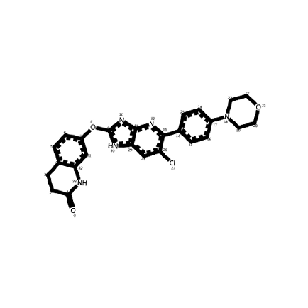 O=C1CCc2ccc(Oc3nc4nc(-c5ccc(N6CCOCC6)cc5)c(Cl)cc4[nH]3)cc2N1